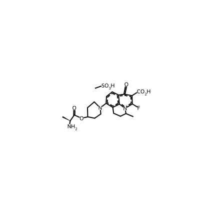 CC1CCc2c(N3CCC(OC(=O)[C@H](C)N)CC3)ccc3c(=O)c(C(=O)O)c(F)n1c23.CS(=O)(=O)O